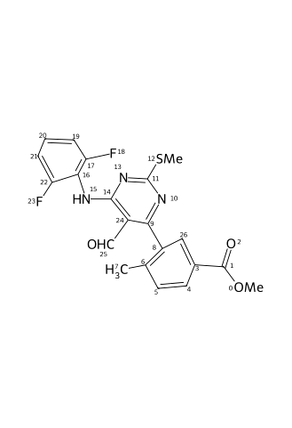 COC(=O)c1ccc(C)c(-c2nc(SC)nc(Nc3c(F)cccc3F)c2C=O)c1